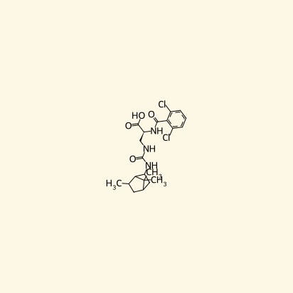 CC1CC2CC(NC(=O)NC[C@H](NC(=O)c3c(Cl)cccc3Cl)C(=O)O)C1C2(C)C